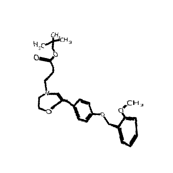 COc1ccccc1COc1ccc(C2CN(CCC(=O)OC(C)(C)C)CCO2)cc1